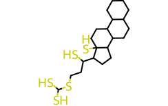 SC(S)SCCC(S)C1CCC2C3CCC4CCCCC4C3CCC12S